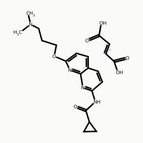 CN(C)CCCOc1ccc2ccc(NC(=O)C3CC3)nc2n1.O=C(O)/C=C/C(=O)O